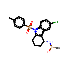 Cc1ccc(S(=O)(=O)n2c3c(c4cc(Cl)ccc42)[C@H](N[S@+]([O-])C(C)(C)C)CCC3)cc1